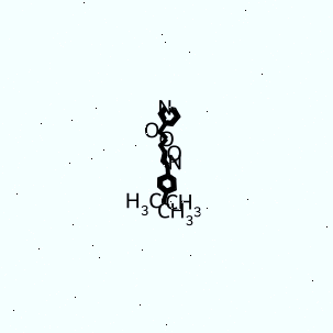 CC(C)(C)c1ccc(-c2cc(COC(=O)c3cccnc3)on2)cc1